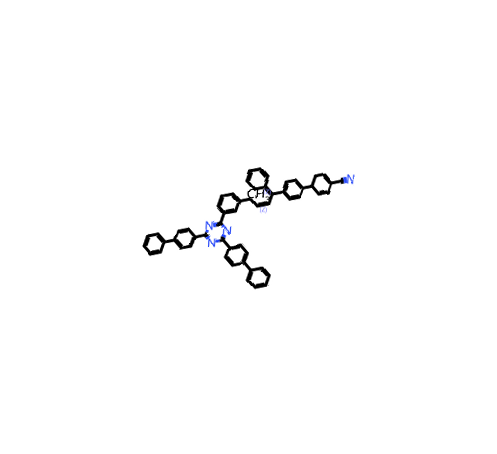 CC(/C=C\C(=C1\C=CC=CC1)c1ccc(C2C=CC(C#N)=CC2)cc1)c1cccc(-c2nc(-c3ccc(-c4ccccc4)cc3)nc(-c3ccc(-c4ccccc4)cc3)n2)c1